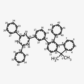 CC1(C)c2ccccc2-c2c1ccc(-c1cccc(-c3nc(-c4ccccc4)nc(-c4ccccc4)n3)c1)c2-c1ccccc1